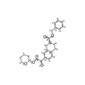 O=C(NOC1CCCCO1)c1ccc2c(c1)CN(C(=O)OCc1ccccc1)CC2